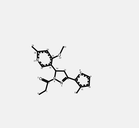 CCC(=O)N1N=C(c2sccc2C)CC1c1cnc(C)cc1OC